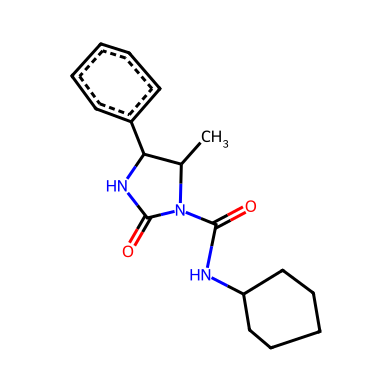 CC1C(c2ccccc2)NC(=O)N1C(=O)NC1CCCCC1